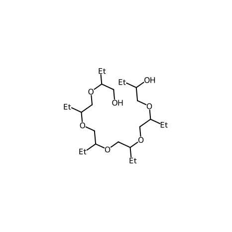 CCC(O)COC(CC)COC(CC)COC(CC)COC(CC)COC(CC)CO